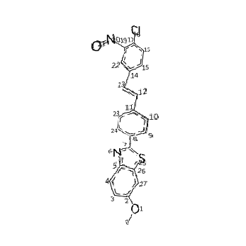 COc1ccc2nc(-c3ccc(/C=C/c4ccc(Cl)c(N=O)c4)cc3)sc2c1